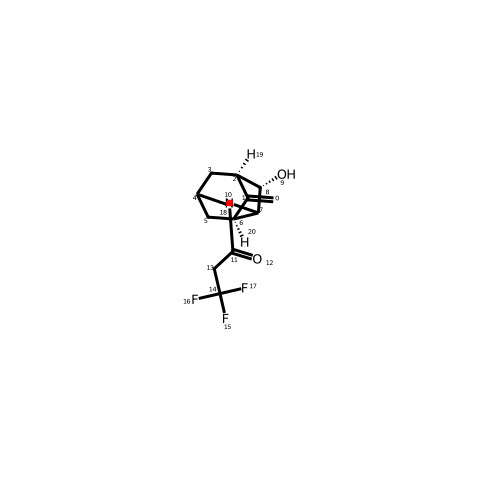 C=C1[C@H]2CC3C[C@@H]1C([C@H]2O)N(C(=O)CC(F)(F)F)C3